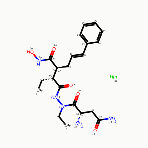 CC(C)C[C@@H](C(=O)NN(CC(C)C)C(=O)[C@@H](N)CC(N)=O)[C@H](CC=Cc1ccccc1)C(=O)NO.Cl